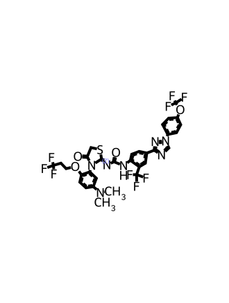 CN(C)c1ccc(OCCC(F)(F)F)c(N2C(=O)CS/C2=N\C(=O)Nc2ccc(-c3ncn(-c4ccc(OC(F)(F)F)cc4)n3)cc2C(F)(F)F)c1